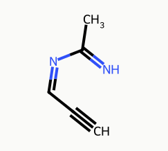 C#C/C=N\C(C)=N